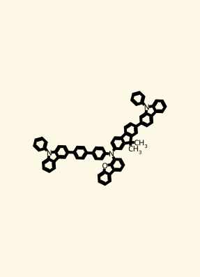 CC1(C)c2cc(-c3ccc4c5ccccc5n(-c5ccccc5)c4c3)ccc2-c2ccc(N(c3ccc(-c4ccc(-c5ccc6c(c5)c5ccccc5n6-c5ccccc5)cc4)cc3)c3cccc4c3oc3ccccc34)cc21